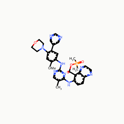 COc1cc(N2CCOCC2)c(-c2cncnc2)cc1Nc1ncc(C)c(Nc2ccc3nccnc3c2C(=O)OP(C)(C)=O)n1